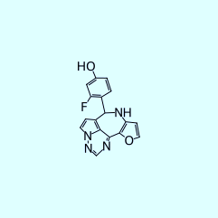 Oc1ccc(C2Nc3ccoc3-c3ncnn4ccc2c34)c(F)c1